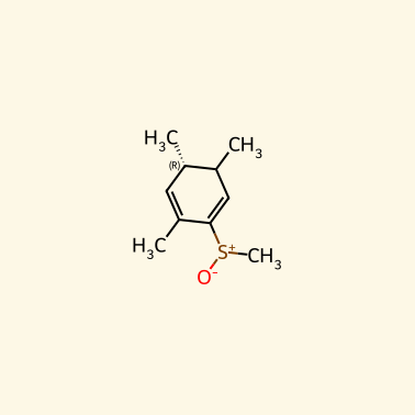 CC1=C[C@H](C)C(C)C=C1[S+](C)[O-]